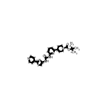 CC(C)(C)OC(=O)N1CC=C(c2cccc(NC(=O)Nc3csc(-c4ccncc4)n3)n2)CC1